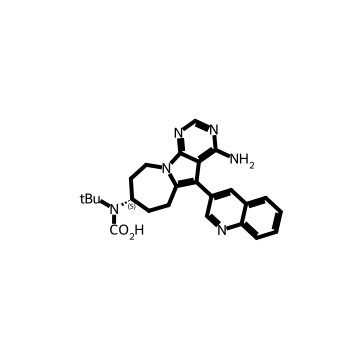 CC(C)(C)N(C(=O)O)[C@H]1CCc2c(-c3cnc4ccccc4c3)c3c(N)ncnc3n2CC1